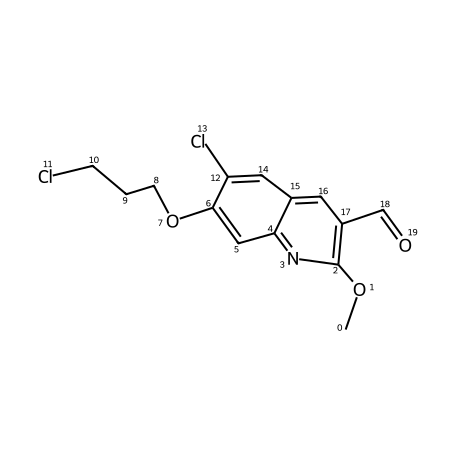 COc1nc2cc(OCCCCl)c(Cl)cc2cc1C=O